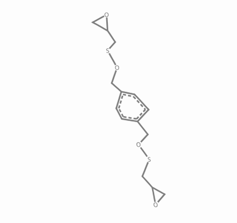 c1cc(COSCC2CO2)ccc1COSCC1CO1